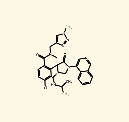 CC(C)NC[C@@H]1CN(c2cncc3ccccc23)C(=O)[C@@]12CN(Cc1cn(C)nn1)C(=O)c1ccc(Cl)cc12